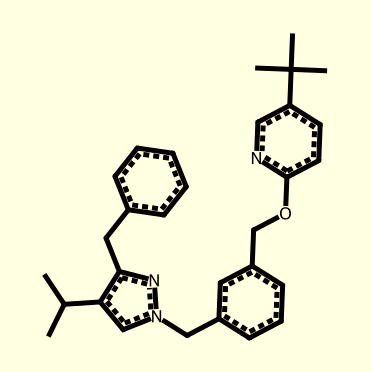 CC(C)c1cn(Cc2cccc(COc3ccc(C(C)(C)C)cn3)c2)nc1Cc1ccccc1